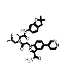 C[C@@H](F)CN(C(=O)Cn1nc(C(N)=O)c2cc(-c3ccnnc3)ccc21)[C@@H](C)C(=O)Nc1ccc2c(c1)OC(C)(C)C2